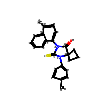 Cc1ccc(N2C(=S)N(c3ccc(C#N)c4ccccc34)C(=O)C23CCC3)cc1